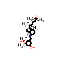 C=C1/C(=C\C=C2/CCC[C@]3(C)[C@@H]([C@@H](C)CCCC(C)(C)O)CC[C@@H]23)C[C@H](O)C[C@@]1(C)O